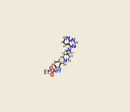 CCS(=O)(=O)Nc1cccc(CN2CCC3(CC2)CN(c2ncnc4ncccc24)C3)c1